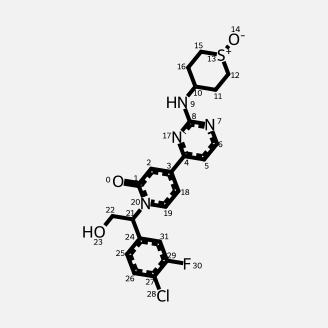 O=c1cc(-c2ccnc(NC3CC[S+]([O-])CC3)n2)ccn1C(CO)c1ccc(Cl)c(F)c1